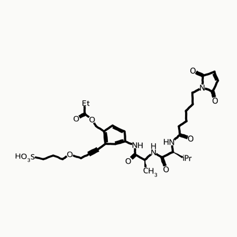 CCC(=O)OCc1ccc(NC(=O)[C@H](C)NC(=O)[C@@H](NC(=O)CCCCCN2C(=O)C=CC2=O)C(C)C)cc1C#CCOCCCS(=O)(=O)O